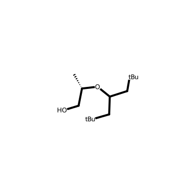 C[C@@H](CO)OC(CC(C)(C)C)CC(C)(C)C